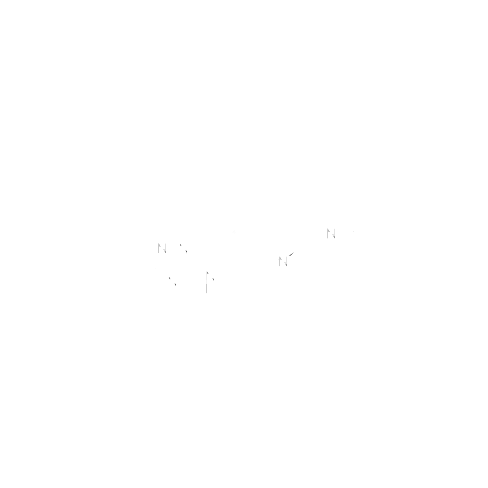 CCN(c1cc(C)cc(Nc2ncn(-c3ccccc3)n2)c1)[C@H]1CCN(C2CC2)C1